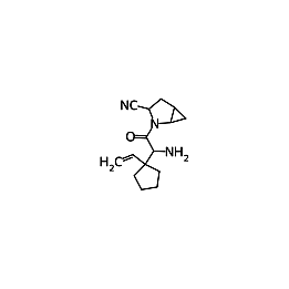 C=CC1(C(N)C(=O)N2C(C#N)CC3CC32)CCCC1